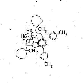 Cc1ccc(-c2cccc3c2C=C(CC2(C)CCCCCCC2)[CH]3[Zr]([Cl])([Cl])([CH]2C(CC3(C)CCCCCCC3)=Cc3c(-c4ccc(C)cc4)cccc32)[SiH](C)C)cc1